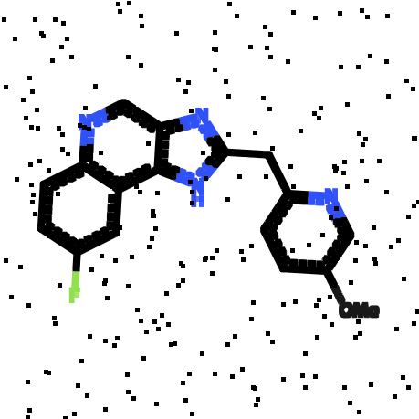 COc1ccc(Cc2nc3cnc4ccc(F)cc4c3[nH]2)nc1